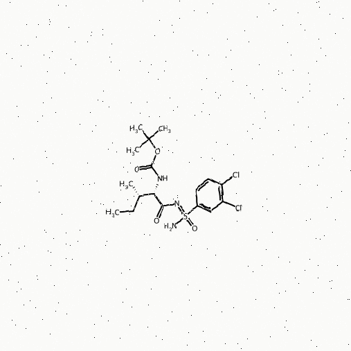 CC[C@H](C)[C@H](NC(=O)OC(C)(C)C)C(=O)N=S(N)(=O)c1ccc(Cl)c(Cl)c1